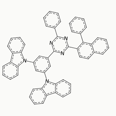 c1ccc(-c2nc(-c3cc(-n4c5ccccc5c5ccccc54)cc(-n4c5ccccc5c5ccccc54)c3)nc(-c3ccc4ccccc4c3-c3ccccc3)n2)cc1